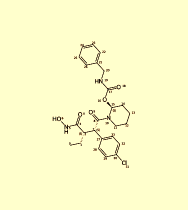 CC[C@H](C(=O)NO)[C@H](C(=O)N1CCCC[C@@H]1OC(=O)NCc1ccccc1)c1ccc(Cl)cc1